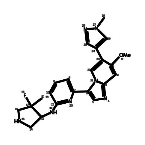 COc1cc2ncc(-c3cccc(NC4CNCC4(F)F)n3)n2cc1-c1cnn(C)c1